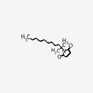 CCCCCCCCCC(C)(C)N1C(=O)C=CC1=O